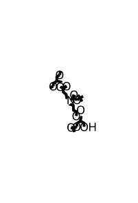 COCC(COC)COC(=O)CCCN(CCCC(=O)OCC(CO)COC(C)=O)C(=O)OC(C)(C)C